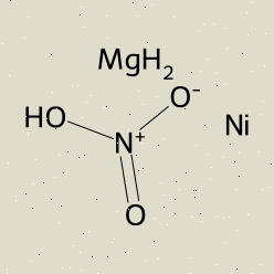 O=[N+]([O-])O.[MgH2].[Ni]